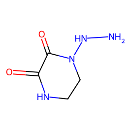 NNN1CCNC(=O)C1=O